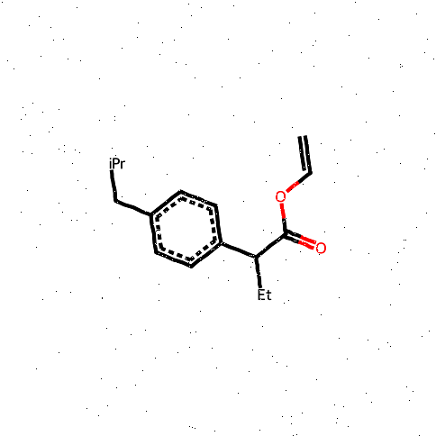 C=COC(=O)C(CC)c1ccc(CC(C)C)cc1